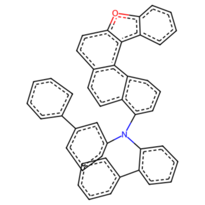 c1ccc(-c2cccc(N(c3ccccc3-c3ccccc3)c3cccc4c3ccc3ccc5oc6ccccc6c5c34)c2)cc1